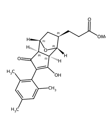 COC(=O)CC[C@@H]1C[C@@H]2O[C@H]1[C@H]1C(O)=C(c3c(C)cc(C)cc3C)C(=O)[C@H]12